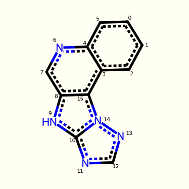 c1ccc2c(c1)ncc1[nH]c3ncnn3c12